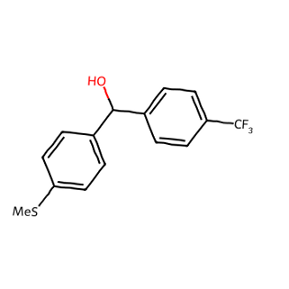 CSc1ccc(C(O)c2ccc(C(F)(F)F)cc2)cc1